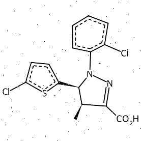 C[C@@H]1C(C(=O)O)=NN(c2ccccc2Cl)[C@@H]1c1ccc(Cl)s1